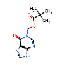 CC(C)(C)C(=O)OCn1cnc2[nH]cnc2c1=O